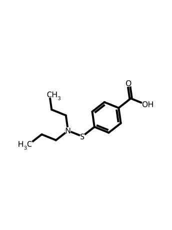 CCCN(CCC)Sc1ccc(C(=O)O)cc1